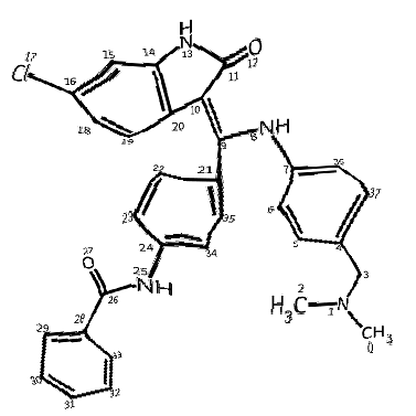 CN(C)Cc1ccc(N/C(=C2\C(=O)Nc3cc(Cl)ccc32)c2ccc(NC(=O)c3ccccc3)cc2)cc1